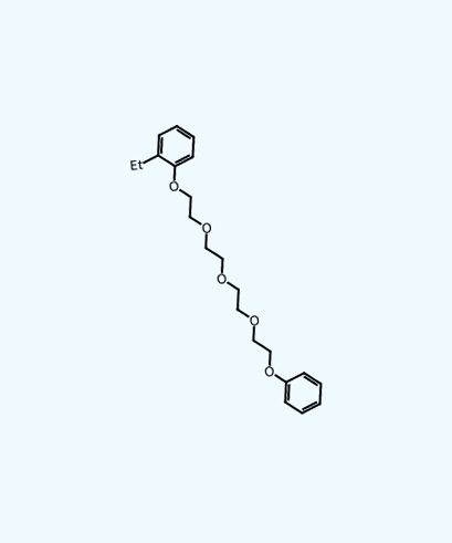 CCc1ccccc1OCCOCCOCCOCCOc1ccccc1